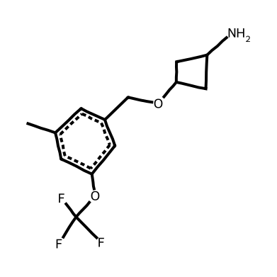 Cc1cc(COC2CC(N)C2)cc(OC(F)(F)F)c1